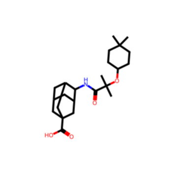 CC1(C)CCC(OC(C)(C)C(=O)NC2C3CC4CC2CC(C(=O)O)(C4)C3)CC1